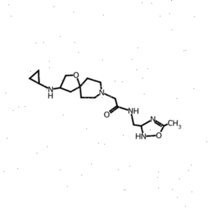 CC1=NC(CNC(=O)CN2CCC3(CC2)CC(NC2CC2)CO3)NO1